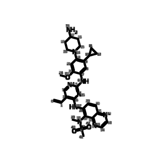 C=Cc1cnc(Nc2cc(C3CC3)c(N3CCC(N)CC3)cc2OC)nc1Nc1ccc2nccnc2c1N(C)S(C)(=O)=O